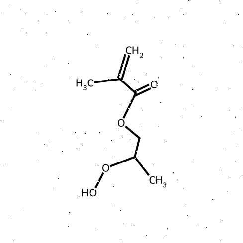 C=C(C)C(=O)OCC(C)OO